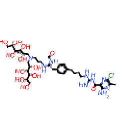 Cc1nc(N)c(C(=O)NC(=N)NCCCCc2ccc(C[C@@H](NC=O)NCCCN(C[C@H](O)[C@@H](O)[C@H](O)[C@H](O)CO)C[C@H](O)[C@@H](O)[C@H](O)[C@H](O)CO)cc2)nc1Cl